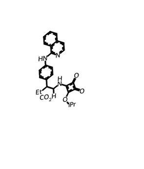 CCC(c1ccc(Nc2nccc3ccccc23)cc1)C(Nc1c(OC(C)C)c(=O)c1=O)C(=O)O